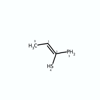 C/C=C(/P)S